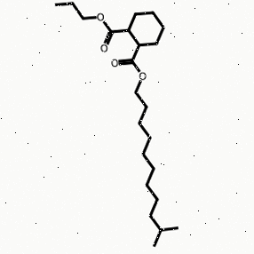 CCCOC(=O)C1CCCCC1C(=O)OCCCCCCCCCC(C)C